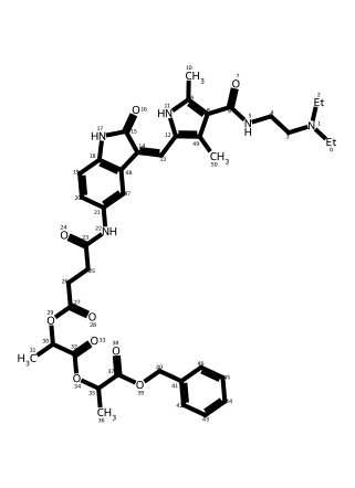 CCN(CC)CCNC(=O)c1c(C)[nH]c(/C=C2\C(=O)Nc3ccc(NC(=O)CCC(=O)OC(C)C(=O)OC(C)C(=O)OCc4ccccc4)cc32)c1C